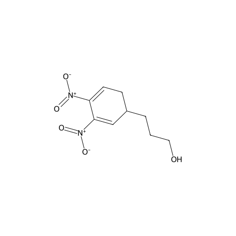 O=[N+]([O-])C1=CCC(CCCO)C=C1[N+](=O)[O-]